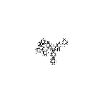 C1=CC(c2ccc(C3=CC(c4ccc(-c5cccc6oc7c8ccccc8c(-c8ccccc8)cc7c56)cc4)=NC(C4C=CC(c5ccccc5)=CC4)N3)cc2)=CCC1